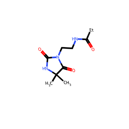 CCC(=O)NCCN1C(=O)NC(C)(C)C1=O